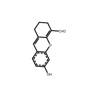 O=CC1=C2Oc3cc(O)ccc3C=C2CCC1